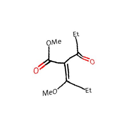 CCC(=O)/C(C(=O)OC)=C(\CC)OC